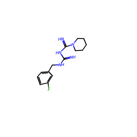 N=C(NCc1cccc(F)c1)NC(=N)N1CCCCC1